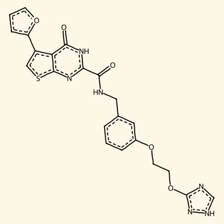 O=C(NCc1cccc(OCCOc2nc[nH]n2)c1)c1nc2scc(-c3ccco3)c2c(=O)[nH]1